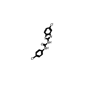 O=C(Nc1ccc(Cl)cc1)Nc1nc2cc(Cl)ccc2s1